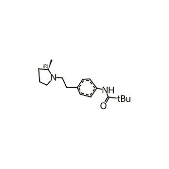 C[C@@H]1CCCN1CCc1ccc(NC(=O)C(C)(C)C)cc1